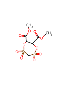 COC(=O)C1OS(=O)(=O)CS(=O)(=O)OC1C(=O)OC